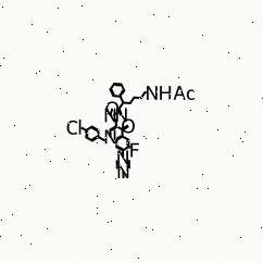 CC(=O)NCCCCC(c1ccccc1)c1nc(-c2cn(Cc3ccc(Cl)cc3)c3cc(N4CCN(C)CC4)c(F)cc3c2=O)no1